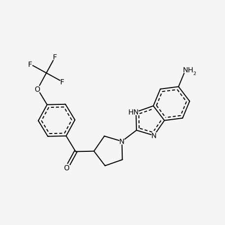 Nc1ccc2nc(N3CCC(C(=O)c4ccc(OC(F)(F)F)cc4)C3)[nH]c2c1